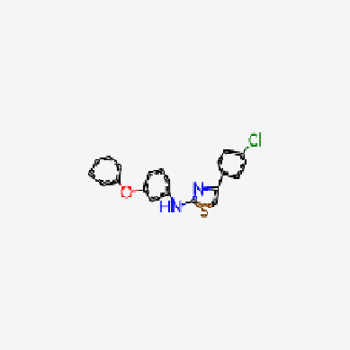 Clc1ccc(-c2csc(Nc3cccc(Oc4ccccc4)c3)n2)cc1